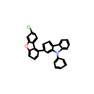 Clc1ccc2c(c1)oc1cccc(-c3ccc4c5ccccc5n(-c5ccccc5)c4c3)c12